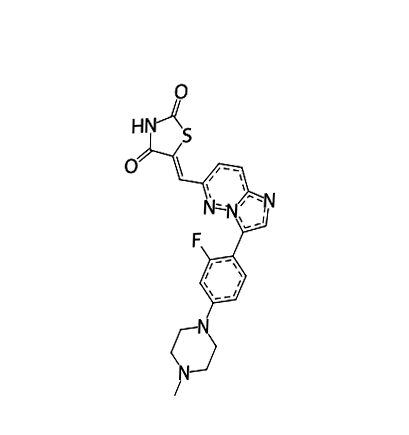 CN1CCN(c2ccc(-c3cnc4ccc(/C=C5\SC(=O)NC5=O)nn34)c(F)c2)CC1